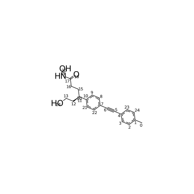 Cc1ccc(C#Cc2ccc([C@@H](CCO)CCC(=O)NO)cc2)cc1